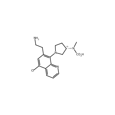 CN(C(=O)O)[C@H]1CCN(c2c(CCN)cc(Cl)c3cccnc23)C1